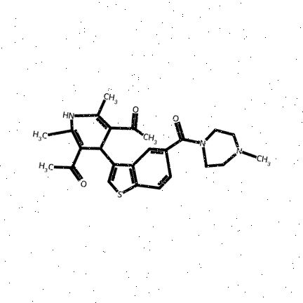 CC(=O)C1=C(C)NC(C)=C(C(C)=O)C1c1csc2ccc(C(=O)N3CCN(C)CC3)cc12